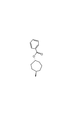 C[C@@H]1CCC[C@@H](OC(=O)c2ccccc2)CC1